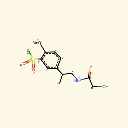 COc1ccc(C(C)CNC(=O)CCl)cc1S(=O)(=O)Cl